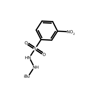 CCC(C)NNS(=O)(=O)c1cccc([N+](=O)[O-])c1